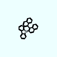 c1ccc2c(-c3c(-n4c5ccccc5c5ccccc54)ccc4ccccc34)cccc2c1